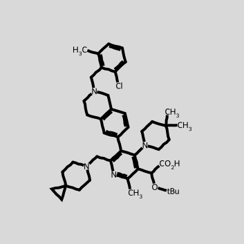 Cc1cccc(Cl)c1CN1CCc2cc(-c3c(CN4CCC5(CC4)CC5)nc(C)c(C(OC(C)(C)C)C(=O)O)c3N3CCC(C)(C)CC3)ccc2C1